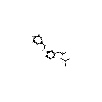 CC(Cc1cccc(OCc2ccccc2)c1)CN(C)C